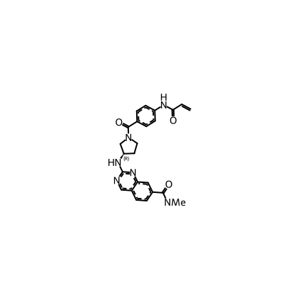 C=CC(=O)Nc1ccc(C(=O)N2CC[C@@H](Nc3ncc4ccc(C(=O)NC)cc4n3)C2)cc1